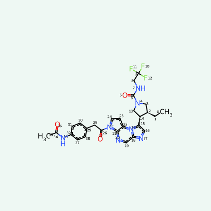 CC[C@@H]1CN(C(=O)NCC(F)(F)F)C[C@@H]1c1cnc2cnc3c(ccn3C(=O)Cc3ccc(NC(C)=O)cc3)n12